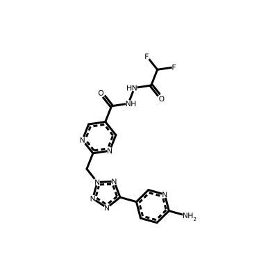 Nc1ccc(-c2nnn(Cc3ncc(C(=O)NNC(=O)C(F)F)cn3)n2)cn1